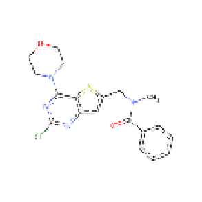 CN(Cc1cc2nc(Cl)nc(N3CCOCC3)c2s1)C(=O)c1ccccc1